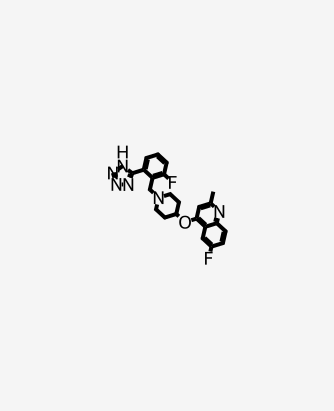 Cc1cc(OC2CCN(Cc3c(F)cccc3-c3nnn[nH]3)CC2)c2cc(F)ccc2n1